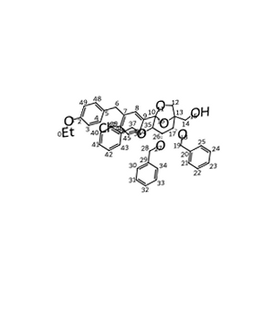 CCOc1ccc(Cc2cc(C34OCC(CO)(O3)[C@H](OCc3ccccc3)[C@H](OCc3ccccc3)C4OCc3ccccc3)ccc2Cl)cc1